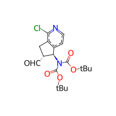 CC(C)(C)OC(=O)N(C(=O)OC(C)(C)C)[C@@H]1c2ccnc(Cl)c2C[C@H]1C=O